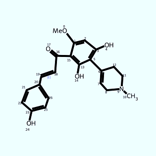 COc1cc(O)c(C2=CCN(C)CC2)c(O)c1C(=O)/C=C/c1ccc(O)cc1